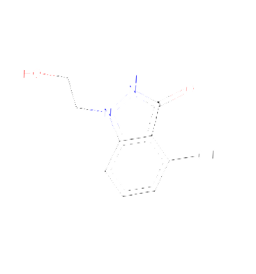 Cc1cccc2c1c(=O)[nH]n2CCO